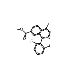 COC(=O)c1ccc2c(C)cnc(-c3c(F)cccc3I)c2c1